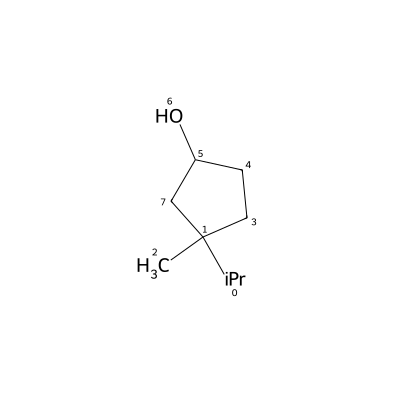 CC(C)C1(C)CCC(O)C1